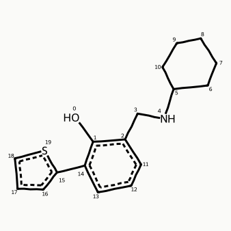 Oc1c(CNC2CCCCC2)cccc1-c1cccs1